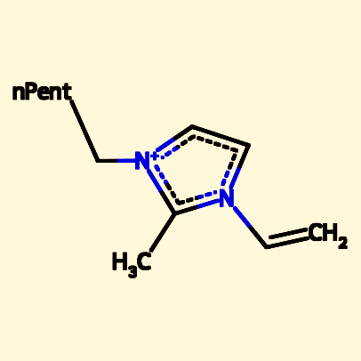 C=Cn1cc[n+](CCCCCC)c1C